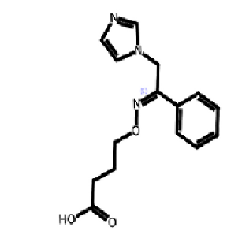 O=C(O)CCCO/N=C(/Cn1ccnc1)c1ccccc1